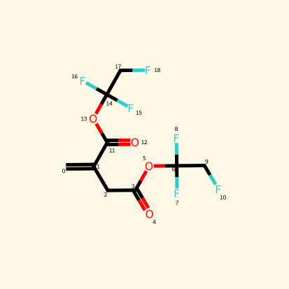 C=C(CC(=O)OC(F)(F)CF)C(=O)OC(F)(F)CF